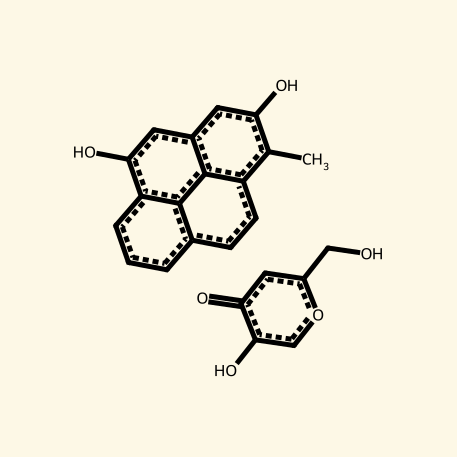 Cc1c(O)cc2cc(O)c3cccc4ccc1c2c43.O=c1cc(CO)occ1O